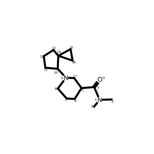 CN(C)C(=O)C1CCCN(C2CCCC23CC3)C1